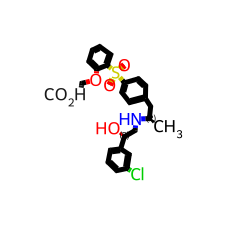 C[C@H](Cc1ccc(S(=O)(=O)c2ccccc2OCC(=O)O)cc1)NC[C@H](O)c1cccc(Cl)c1